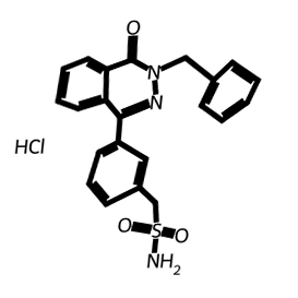 Cl.NS(=O)(=O)Cc1cccc(-c2nn(Cc3ccccc3)c(=O)c3ccccc23)c1